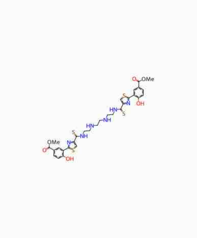 COC(=O)c1ccc(O)c(-c2nc(C(=S)NCCNCCNCCNC(=S)c3csc(-c4cc(C(=O)OC)ccc4O)n3)cs2)c1